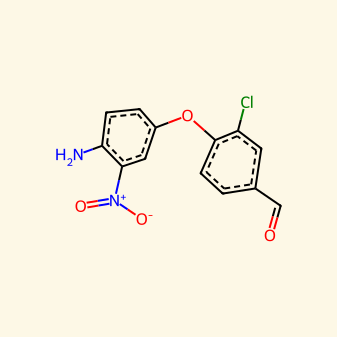 Nc1ccc(Oc2ccc(C=O)cc2Cl)cc1[N+](=O)[O-]